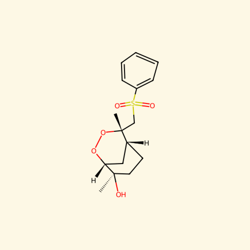 C[C@]1(CS(=O)(=O)c2ccccc2)OO[C@@H]2C[C@H]1CC[C@@]2(C)O